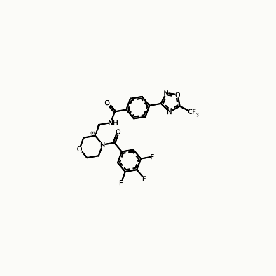 O=C(NC[C@@H]1COCCN1C(=O)c1cc(F)c(F)c(F)c1)c1ccc(-c2noc(C(F)(F)F)n2)cc1